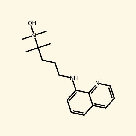 CC(C)(CCCNc1cccc2cccnc12)[Si](C)(C)O